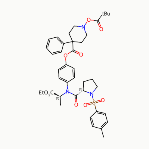 CCOC(=O)[C@H](C)N(C(=O)[C@@H]1CCCN1S(=O)(=O)c1ccc(C)cc1)c1ccc(OC(=O)C2(c3ccccc3)CCN(OC(=O)C(C)(C)C)CC2)cc1